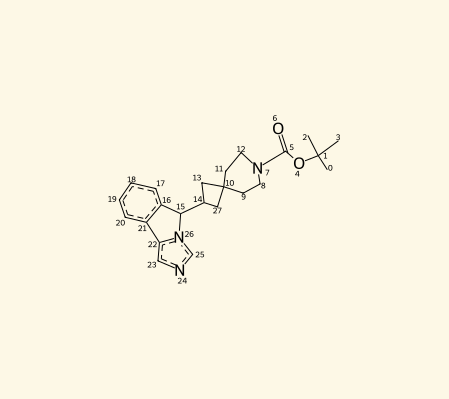 CC(C)(C)OC(=O)N1CCC2(CC1)CC(C1c3ccccc3-c3cncn31)C2